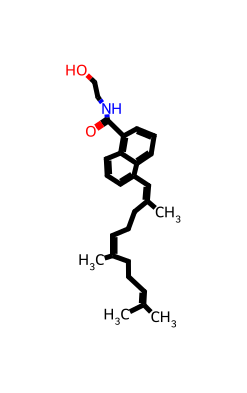 CC(C)=CCCC(C)=CCCC(C)=Cc1cccc2c(C(=O)NCCO)cccc12